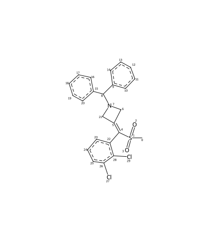 CS(=O)(=O)C(=C1CN(C(c2ccccc2)c2ccccc2)C1)c1cccc(Cl)c1Cl